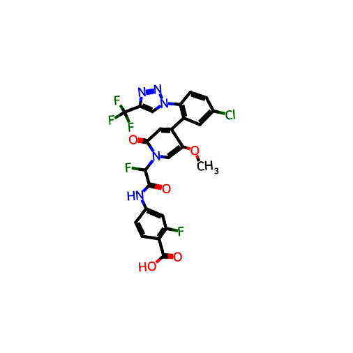 COc1cn(C(F)C(=O)Nc2ccc(C(=O)O)c(F)c2)c(=O)cc1-c1cc(Cl)ccc1-n1cc(C(F)(F)F)nn1